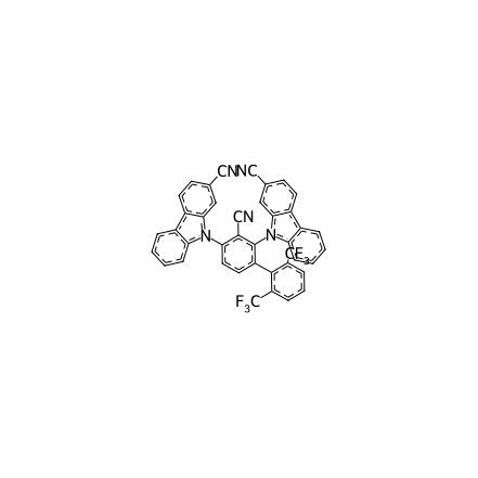 N#Cc1ccc2c3ccccc3n(-c3ccc(-c4c(C(F)(F)F)cccc4C(F)(F)F)c(-n4c5ccccc5c5ccc(C#N)cc54)c3C#N)c2c1